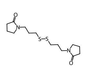 O=C1CCCN1CCCSSCCCN1CCCC1=O